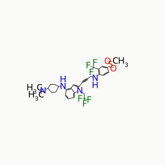 CN(C)[C@H]1CC[C@@H](Nc2cccc3c2cc(C#CCNc2ccc(S(C)(=O)=O)cc2C(F)(F)F)n3CC(F)(F)F)CC1